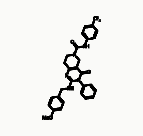 COc1ccc(CNc2nc3c(c(=O)n2-c2ccccc2)CN(C(=O)Nc2ccc(C(F)(F)F)cc2)CC3)cc1